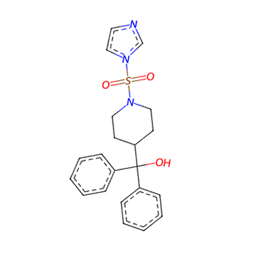 O=S(=O)(N1CCC(C(O)(c2ccccc2)c2ccccc2)CC1)n1ccnc1